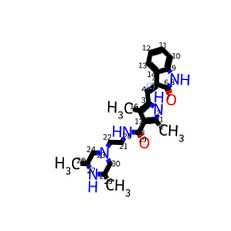 Cc1[nH]c(/C=C2\C(=O)Nc3ccccc32)c(C)c1C(=O)NCCN1CC(C)NC(C)C1